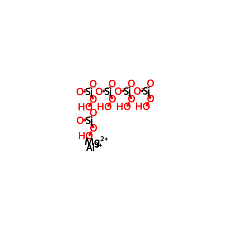 O=[Si]([O-])OO.O=[Si]([O-])OO.O=[Si]([O-])OO.O=[Si]([O-])OO.O=[Si]([O-])OO.[Al+3].[Mg+2]